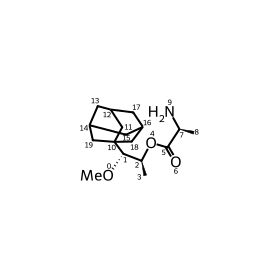 CO[C@@H]([C@H](C)OC(=O)[C@H](C)N)C12CC3CC(CC(C3)C1)C2